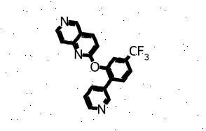 FC(F)(F)c1ccc(-c2cccnc2)c(Oc2ccc3cnccc3n2)c1